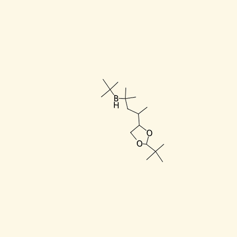 CC(CC(C)(C)BC(C)(C)C)C1COC(C(C)(C)C)O1